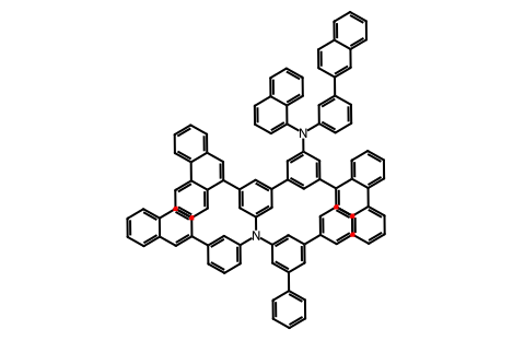 c1ccc(-c2cc(-c3ccccc3)cc(N(c3cccc(-c4ccc5ccccc5c4)c3)c3cc(-c4cc(-c5cc6ccccc6c6ccccc56)cc(N(c5cccc(-c6ccc7ccccc7c6)c5)c5cccc6ccccc56)c4)cc(-c4cc5ccccc5c5ccccc45)c3)c2)cc1